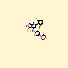 C[C@@H]1COCCN1c1ccc(Nc2cc(-c3c(F)cccc3F)nc3c2C(=O)NC3)nc1